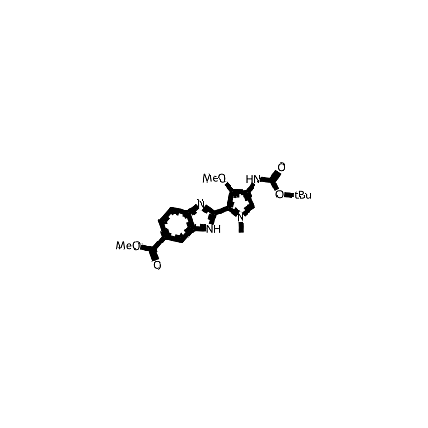 COC(=O)c1ccc2nc(-c3c(OC)c(NC(=O)OC(C)(C)C)cn3C)[nH]c2c1